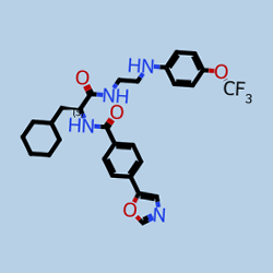 O=C(N[C@@H](CC1CCCCC1)C(=O)NCCNc1ccc(OC(F)(F)F)cc1)c1ccc(-c2cnco2)cc1